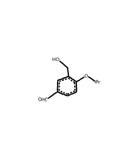 CC(C)Oc1ccc(C=O)cc1CO